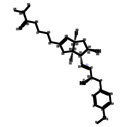 COc1ccc(C[C@@H](O)/C=C/[C@@H]2[C@H]3CC(CCCCC(=O)N(C)C)=C[C@H]3C[C@H]2O)cc1